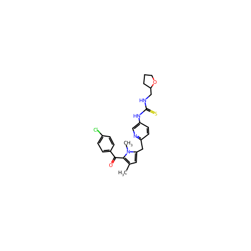 Cc1cc(Cc2ccc(NC(=S)NCC3CCCO3)cn2)n(C)c1C(=O)c1ccc(Cl)cc1